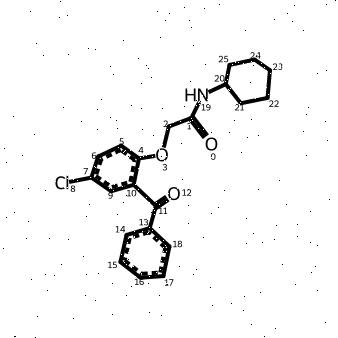 O=C(COc1ccc(Cl)cc1C(=O)c1ccccc1)NC1CCCCC1